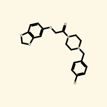 O=C(COc1ccc2c(c1)OCO2)N1CCN(Cc2ccc(Cl)cc2)CC1